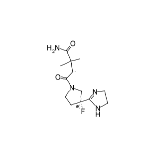 CC(C)([CH]C(=O)N1CC[C@](F)(C2=NCCN2)C1)C(N)=O